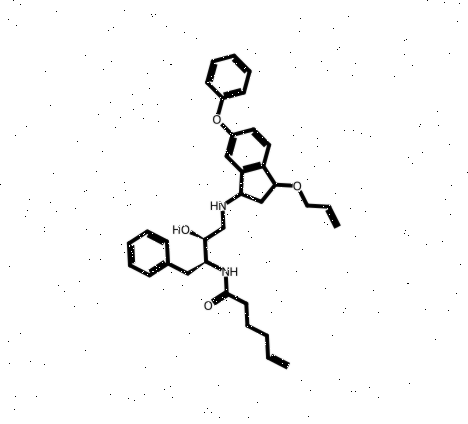 C=CCCCC(=O)N[C@@H](Cc1ccccc1)[C@@H](O)CNC1CC(OCC=C)c2ccc(Oc3ccccc3)cc21